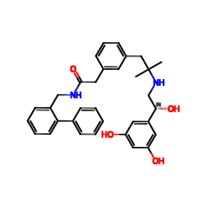 CC(C)(Cc1cccc(CC(=O)NCc2ccccc2-c2ccccc2)c1)NC[C@H](O)c1cc(O)cc(O)c1